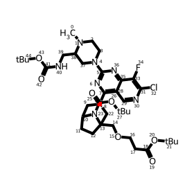 CN1CCN(c2nc(N3CC4CCC(COCCC(=O)OC(C)(C)C)(C3)N4C(=O)OC(C)(C)C)c3cnc(Cl)c(F)c3n2)CC1CNC(=O)OC(C)(C)C